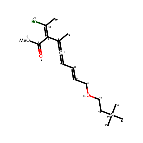 COC(=O)/C(C(C)=C=C/C=C/COCC[Si](C)(C)C)=C(/C)Br